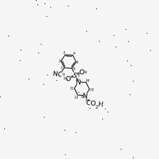 N#Cc1ccccc1S(=O)(=O)N1CCN(C(=O)O)CC1